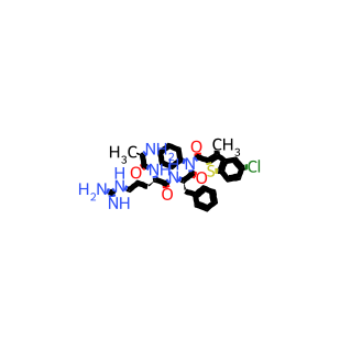 Cc1c(C(=O)N(C(=O)[C@H](Cc2ccccc2)NC(=O)[C@H](CCCNC(=N)N)NC(=O)[C@H](C)N)C2CCCCC2)sc2ccc(Cl)cc12